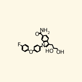 NC(=O)c1ccc2c(C[C@H](O)CO)cn(-c3ccc(Oc4ccc(F)cc4)cc3)c2c1